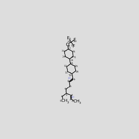 C/C=C/C(CC)CC/C=C/C1CCC(C2CCC(OC(F)(F)F)CC2)CC1